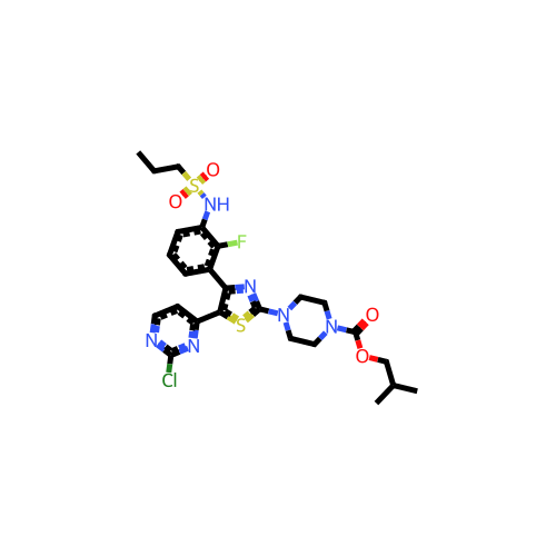 CCCS(=O)(=O)Nc1cccc(-c2nc(N3CCN(C(=O)OCC(C)C)CC3)sc2-c2ccnc(Cl)n2)c1F